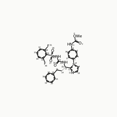 COC(=O)Nc1ccc(-n2ccnc2[C@H](CCc2ccccc2)NC(=O)NS(=O)(=O)c2c(F)cccc2F)cc1